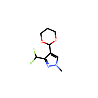 Cn1cc(C2OCCCO2)c(C(F)F)n1